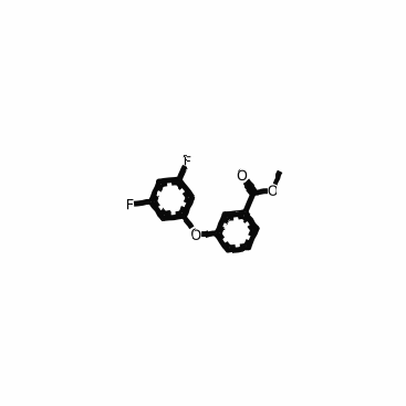 COC(=O)c1cccc(Oc2cc(F)cc(F)c2)c1